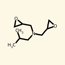 CC(C)CN(CC1CO1)CC1CO1